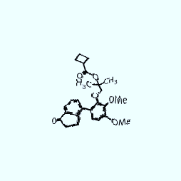 COc1ccc(-c2cccc3c2CCC3=O)c(OCC(C)(C)OC(=O)C2CCC2)c1OC